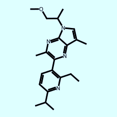 CCc1nc(C(C)C)ccc1-c1nc2c(C)cn(C(C)COC)c2nc1C